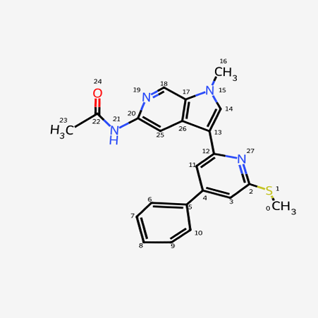 CSc1cc(-c2ccccc2)cc(-c2cn(C)c3cnc(NC(C)=O)cc23)n1